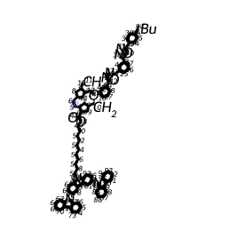 C=CC1CC(/C=C\C2CC(C=C)C(COc3cccc(-c4nnc(-c5cccc(-c6nnc(-c7ccc(C(C)(C)C)cc7)o6)c5)o4)c3)C2)C(C(=O)OCCCCCCCCCCCn2c3ccc(-n4c5ccccc5c5ccccc54)cc3c3cc(-n4c5ccccc5c5ccccc54)ccc32)C1